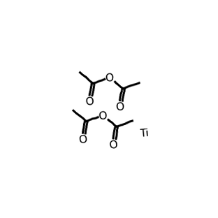 CC(=O)OC(C)=O.CC(=O)OC(C)=O.[Ti]